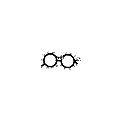 CCC1(C)CCCCC(C2CCCCCC(C)CCC2)NCCC1